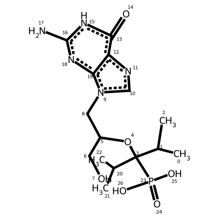 CC(C)C(OC(CO)Cn1cnc2c(=O)[nH]c(N)nc21)(C(C)C)P(=O)(O)O